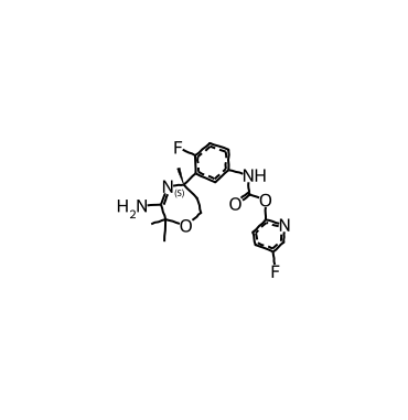 CC1(C)OCC[C@@](C)(c2cc(NC(=O)Oc3ccc(F)cn3)ccc2F)N=C1N